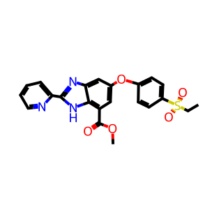 CCS(=O)(=O)c1ccc(Oc2cc(C(=O)OC)c3[nH]c(-c4ccccn4)nc3c2)cc1